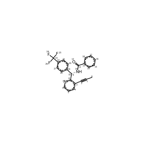 CC#Cc1cccnc1[C@@H](NC(=O)c1ccccc1)c1ccc(C(F)(F)F)cc1